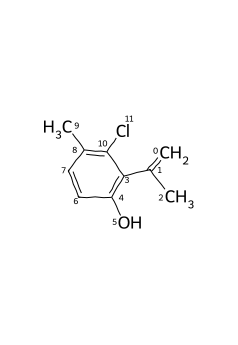 C=C(C)c1c(O)ccc(C)c1Cl